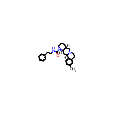 Cc1ccc2c(c1)CCN1C[C@H]3CCCN(C(=O)NCCc4ccccc4)[C@H]3C[C@@H]21